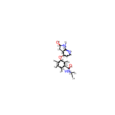 Cc1c(C)c(Oc2ccnc3c2CC(=O)N3C)c(C)c(C(=O)NC(C)C)c1C